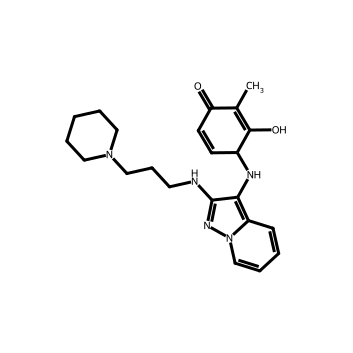 CC1=C(O)C(Nc2c(NCCCN3CCCCC3)nn3ccccc23)C=CC1=O